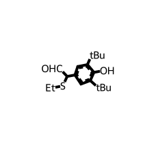 CCSC(C=O)c1cc(C(C)(C)C)c(O)c(C(C)(C)C)c1